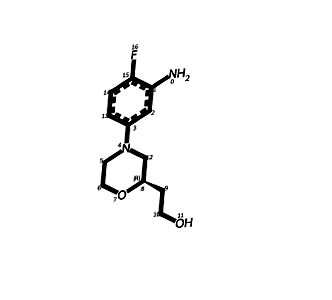 Nc1cc(N2CCO[C@H](CCO)C2)ccc1F